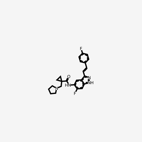 O=C(Nc1cc2c(/C=C/c3ccc(F)cc3)n[nH]c2cc1F)C1(CN2CCCC2)CC1